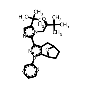 CC(C)(C)C(=O)Cn1c(C(C)(C)C)cnc1-c1nn(-c2cnccn2)c2c1CC1CCC2O1